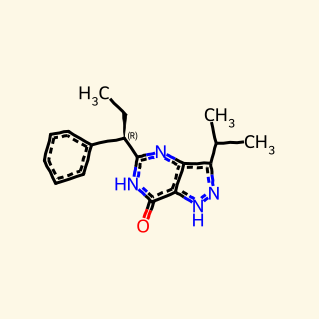 CC[C@H](c1ccccc1)c1nc2c(C(C)C)n[nH]c2c(=O)[nH]1